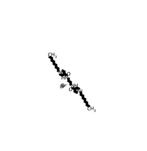 CCCCCCCCCC[n+]1ccc(C(=O)NCCCCNC(=O)c2cc[n+](CCCCCCCCCC)cc2)cc1.[Br-].[Br-]